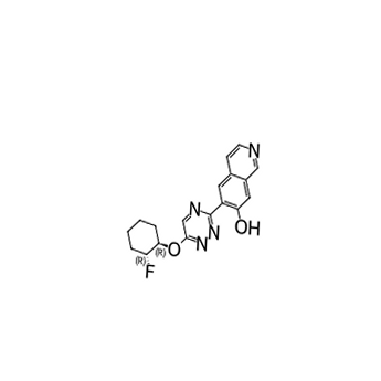 Oc1cc2cnccc2cc1-c1ncc(O[C@@H]2CCCC[C@H]2F)nn1